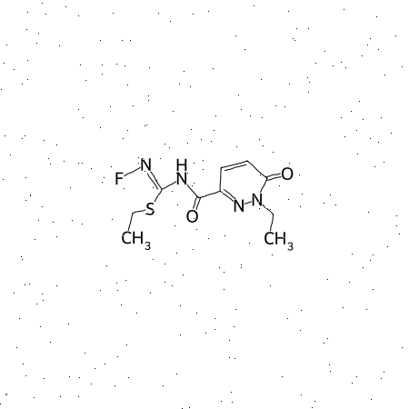 CCS/C(=N\F)NC(=O)c1ccc(=O)n(CC)n1